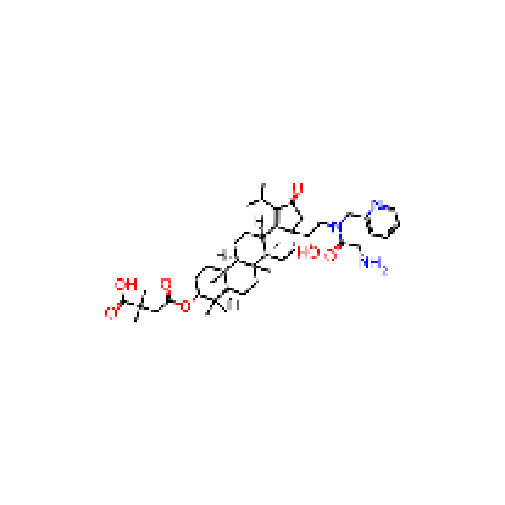 CC(C)C1=C2[C@H]3CC[C@@H]4[C@@]5(C)CC[C@H](OC(=O)CC(C)(C)C(=O)O)C(C)(C)[C@@H]5CC[C@@]4(C)[C@]3(C)CC[C@@]2([C@@H](O)CN(Cc2ccccn2)C(=O)CN)CC1=O